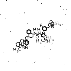 C[C@@H]1CCC[C@H](C)N1c1nnc2ccc(O[C@@H]3CCC(NC(=O)Nc4cc(C(C)(C)C)nn4-c4cc(F)cc(COS(C)(=O)=O)c4)c4ccccc43)cn12